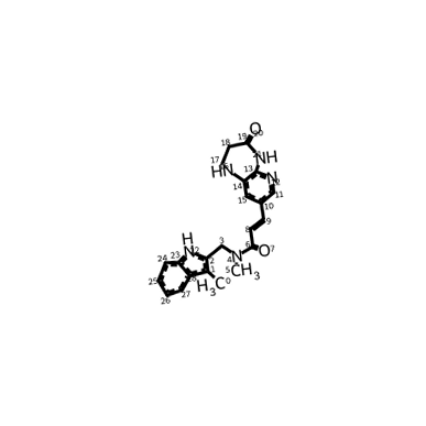 Cc1c(CN(C)C(=O)C=Cc2cnc3c(c2)NCCC(=O)N3)[nH]c2ccccc12